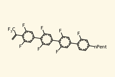 C=C(c1c(F)cc(-c2c(F)cc(-c3c(F)cc(-c4ccc(CCCCC)cc4F)cc3F)cc2F)cc1F)C(F)(F)F